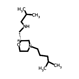 CC(C)CCCN1CCO[C@H](CNCC(C)C)C1